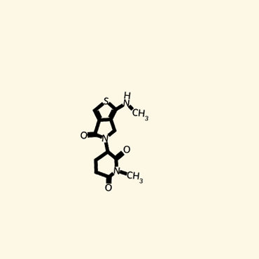 CNc1scc2c1CN(C1CCC(=O)N(C)C1=O)C2=O